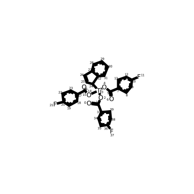 O=C([O][Ti]([O]C(=O)c1ccc(F)cc1)([O]C(=O)c1ccc(F)cc1)[CH]1C=Cc2ccccc21)c1ccc(F)cc1